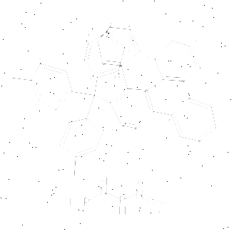 Cc1ccc(C(c2ccc(C)cc2)(c2ccc(C)cc2)c2ccc(-c3ccccc3)c(-c3ccccc3)c2-c2ccccc2)cc1.P=NPNP